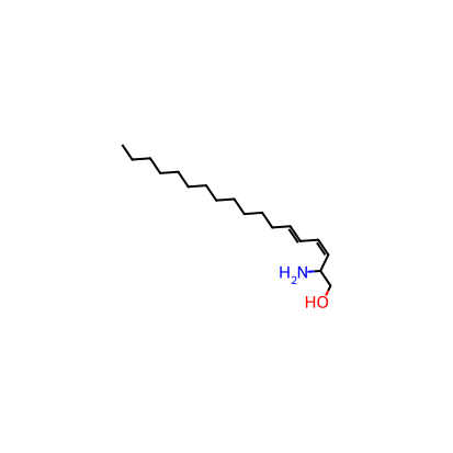 CCCCCCCCCCCC/C=C/C=C\C(N)CO